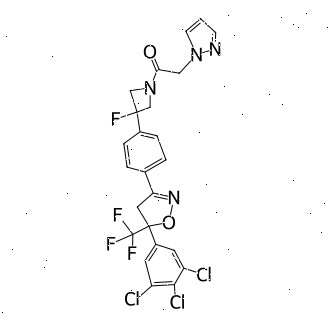 O=C(Cn1cccn1)N1CC(F)(c2ccc(C3=NOC(c4cc(Cl)c(Cl)c(Cl)c4)(C(F)(F)F)C3)cc2)C1